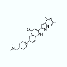 Cc1cn2nc(C3=CC(=O)N4C=C(N5CCC(CN(C)C)CC5)C=CC4P3)cc2c(C)n1